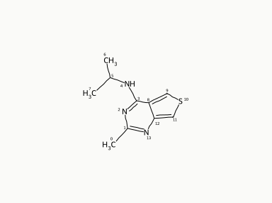 Cc1nc(NC(C)C)c2cscc2n1